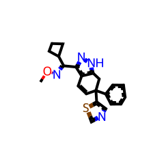 CON=C(c1n[nH]c2c1C=CC(c1ccccc1)(c1cncs1)C2)C1CCC1